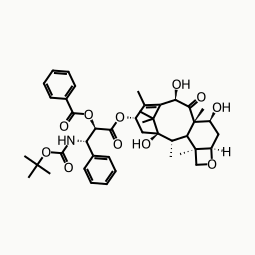 CC1=C2[C@@H](O)C(=O)[C@@]3(C)C([C@H](C)[C@](O)(C[C@@H]1OC(=O)[C@H](OC(=O)c1ccccc1)[C@@H](NC(=O)OC(C)(C)C)c1ccccc1)C2(C)C)[C@]1(C)CO[C@@H]1C[C@@H]3O